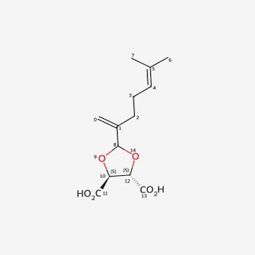 C=C(CCC=C(C)C)C1O[C@H](C(=O)O)[C@@H](C(=O)O)O1